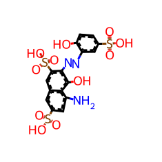 Nc1cc(S(=O)(=O)O)cc2cc(S(=O)(=O)O)c(N=Nc3cc(S(=O)(=O)O)ccc3O)c(O)c12